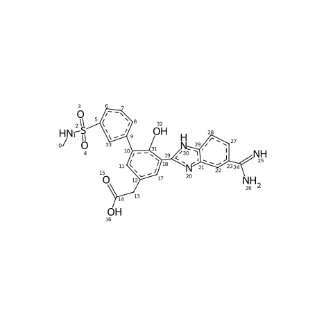 CNS(=O)(=O)c1cccc(-c2cc(CC(=O)O)cc(-c3nc4cc(C(=N)N)ccc4[nH]3)c2O)c1